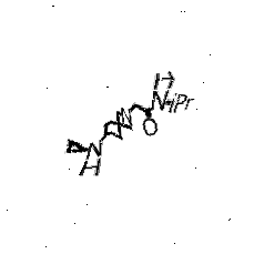 CC(C)NC(=O)CN1CC2(CC(NC3CC3)C2)C1